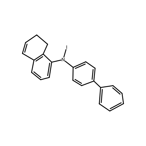 IN(c1ccc(-c2ccccc2)cc1)c1cccc2c1CCC=C2